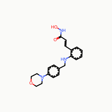 O=C(C=Cc1ccccc1NCc1ccc(N2CCOCC2)cc1)NO